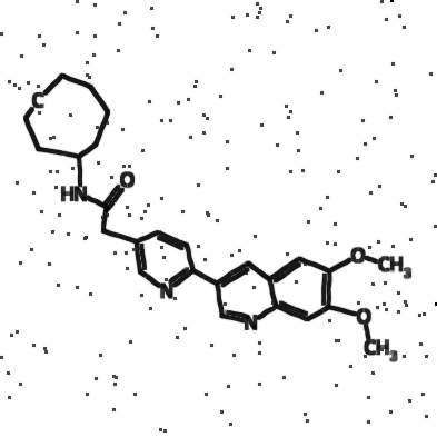 COc1cc2cc(-c3ccc(CC(=O)NC4CCCCCCC4)cn3)cnc2cc1OC